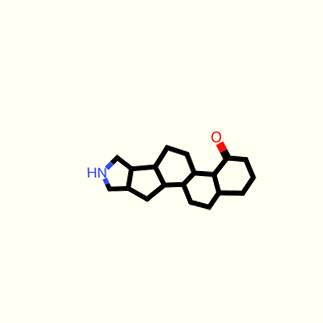 O=C1CCCC2CCC3C4CC5CNCC5C4CCC3C12